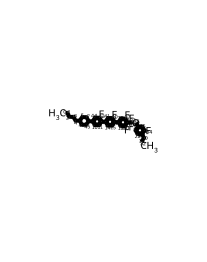 CCCCCC1CCC(c2ccc(-c3ccc(-c4cc(F)c(C(F)(F)Oc5ccc(CCC)c(F)c5)c(F)c4)c(F)c3)c(F)c2)CC1